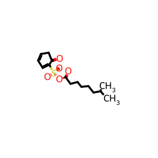 CC(C)CCCCCC(=O)OS(=O)(=O)C1=CC=CCC1=O